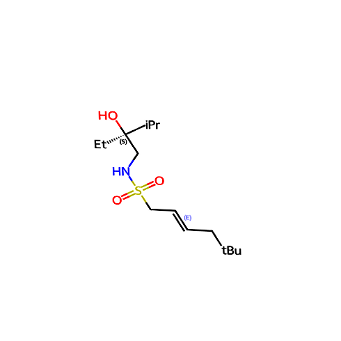 CC[C@@](O)(CNS(=O)(=O)C/C=C/CC(C)(C)C)C(C)C